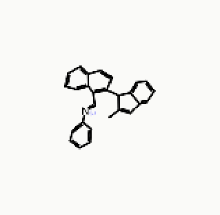 CC1=Cc2ccccc2C1c1ccc2ccccc2c1/C=N/c1ccccc1